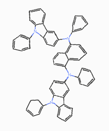 C1=CCCC(n2c3ccccc3c3cc(N(c4ccccc4)c4cccc5c(N(c6ccccc6)c6ccc7c(c6)c6ccccc6n7-c6ccccc6)cccc45)ccc32)=C1